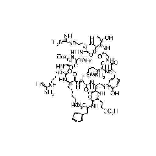 CC[C@H](C)[C@H](NC(=O)[C@@H](NC(=O)[C@H](CCCNC(=N)N)NC(=O)[C@@H](NC(=O)CNC(=O)[C@H](Cc1ccc(O)cc1)NC(=O)[C@@H](N)CCSC)[C@@H](C)O)C(C)C)C(=O)N[C@@H](CCCNC(=N)N)C(=O)N[C@@H](CCCCN)C(=O)N[C@@H](C)C(=O)N[C@@H](CC(C)C)C(=O)N[C@@H](CCC(=O)O)C(=O)N[C@@H](Cc1ccccc1)C(=O)O